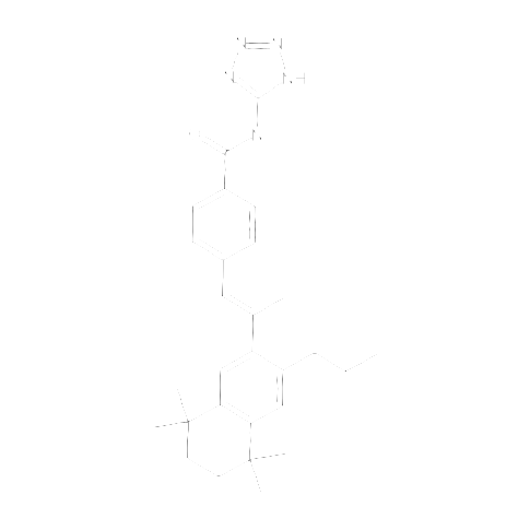 CCCc1cc2c(cc1/C(C)=C/c1ccc(C(=O)Nc3nnn[nH]3)cc1)C(C)(C)CCC2(C)C